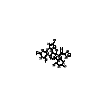 Cc1ccc(N2N=C(c3ccc(F)cc3F)C(c3ccc(C)o3)C2(C)C(=O)NC2COC2)c(C)c1